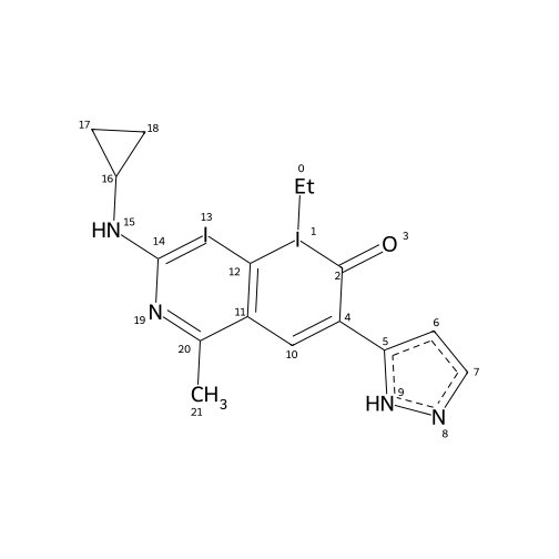 CCI1C(=O)C(c2ccn[nH]2)=CC2=C1I=C(NC1CC1)N=C2C